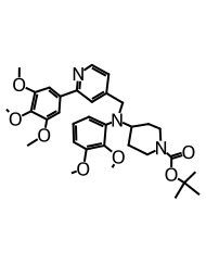 COc1cc(-c2cc(CN(c3cccc(OC)c3OC)C3CCN(C(=O)OC(C)(C)C)CC3)ccn2)cc(OC)c1OC